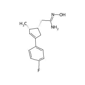 C[C@H]1C=C(c2ccc(F)cc2)C[C@H]1C/C(N)=N/O